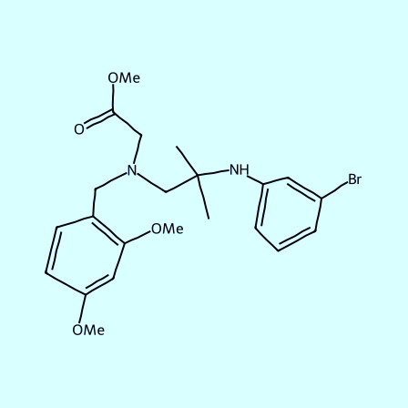 COC(=O)CN(Cc1ccc(OC)cc1OC)CC(C)(C)Nc1cccc(Br)c1